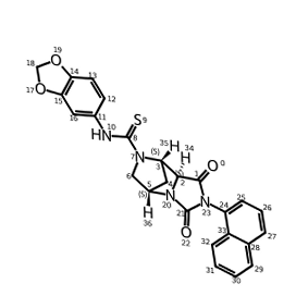 O=C1[C@@H]2[C@@H]3C[C@@H](CN3C(=S)Nc3ccc4c(c3)OCO4)N2C(=O)N1c1cccc2ccccc12